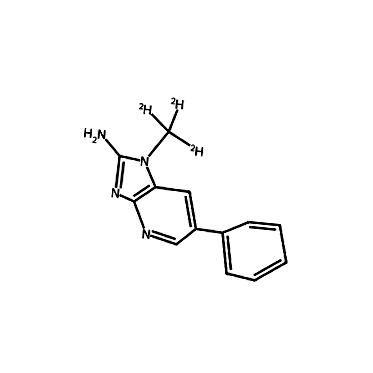 [2H]C([2H])([2H])n1c(N)nc2ncc(-c3ccccc3)cc21